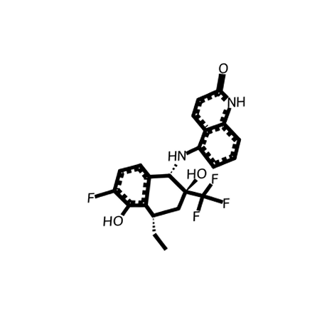 CC[C@H]1C[C@@](O)(C(F)(F)F)[C@@H](Nc2cccc3[nH]c(=O)ccc23)c2ccc(F)c(O)c21